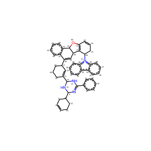 C1=CCC(C2N=C(c3ccccc3)NC(C3=CC(C4=CC5C6=C(C=CCC6n6c7ccccc7c7ccccc76)OC5c5ccccc54)CCC3)N2)CC1